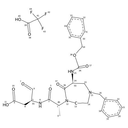 C[C@H](C(=O)N[C@H](C=O)CC(=O)O)N1CCN(Cc2ccccc2)C[C@H](NC(=O)OCc2ccccc2)C1=O.O=C(O)C(F)(F)F